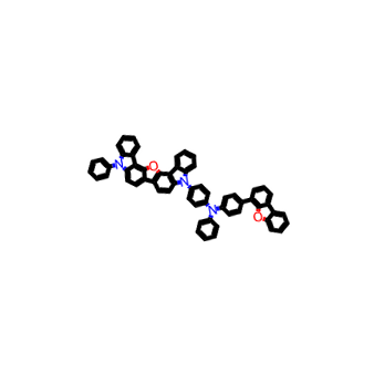 c1ccc(N(c2ccc(-c3cccc4c3oc3ccccc34)cc2)c2ccc(-n3c4ccccc4c4c5oc6c(ccc7c6c6ccccc6n7-c6ccccc6)c5ccc43)cc2)cc1